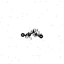 Cc1nc(-c2ccn(C[C@@H](C)c3ccccc3)n2)sc1OC(=O)NCc1ccccc1